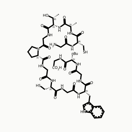 CCCC[C@H](NC(=O)CNC(=O)[C@H](Cc1c[nH]c2ccccc12)NC(=O)CNC(=O)[C@H](CS)NC(=O)CNC(=O)[C@@H]1CCCN1C(=O)CNC(=O)[C@@H](NC(=O)[C@H](C)NC(=O)[C@H](CS)NC(=O)CN)[C@@H](C)O)C(=O)NCC(=O)O